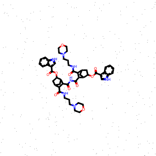 O=C(OC1CC2CC1C(C(=O)NC(=O)C1C3CC(CC3OC(=O)c3c[nH]c4ccccc34)C1C(=O)NCCCN1CCOCC1)C2C(=O)NCCCN1CCOCC1)c1c[nH]c2ccccc12